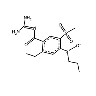 CCC[S+]([O-])c1cc(CC)c(C(=O)N=C(N)N)cc1S(C)(=O)=O